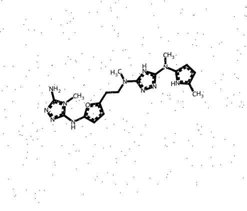 Cc1ccc(N(C)c2nnc(N(C)CCc3ccc(Nc4nnc(N)n4C)o3)[nH]2)[nH]1